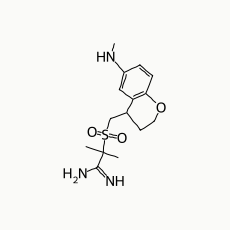 CNc1ccc2c(c1)C(CS(=O)(=O)C(C)(C)C(=N)N)CCO2